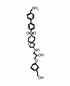 NCc1ccc(-c2ccc(S(=O)(=O)N3CCC4(CC3)C[C@@H](NC[C@H](O)COc3cccc(CCO)c3)CO4)cc2)cc1